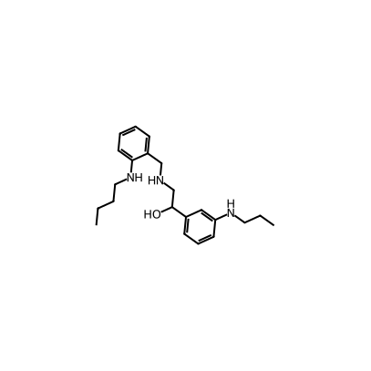 CCCCNc1ccccc1CNCC(O)c1cccc(NCCC)c1